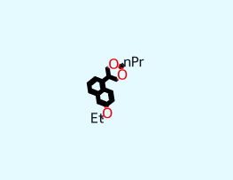 C[CH]CC1OCC(c2cccc3cc(OCC)ccc23)CO1